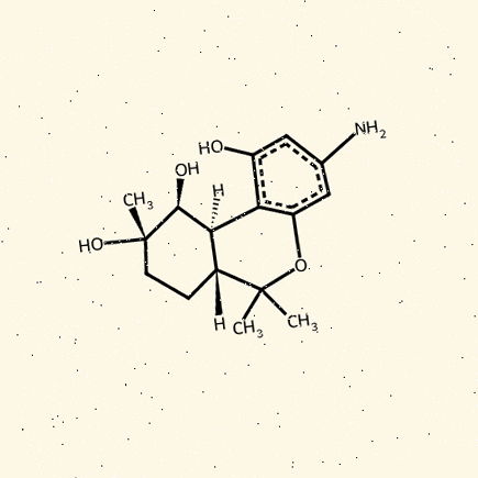 CC1(C)Oc2cc(N)cc(O)c2[C@H]2[C@H]1CC[C@](C)(O)[C@H]2O